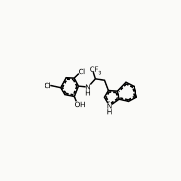 Oc1cc(Cl)cc(Cl)c1NC(Cc1c[nH]c2ccccc12)C(F)(F)F